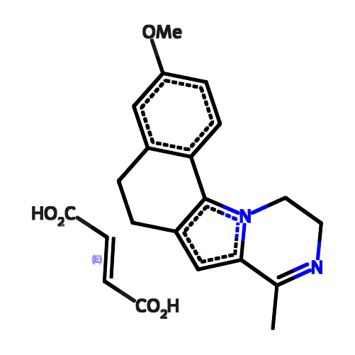 COc1ccc2c(c1)CCc1cc3n(c1-2)CCN=C3C.O=C(O)/C=C/C(=O)O